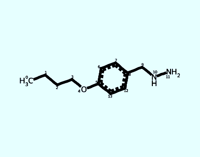 CCCCOc1ccc(CNN)cc1